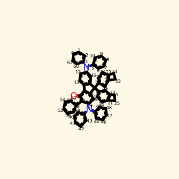 c1ccc(N(c2ccccc2)c2ccc3c(c2)C(c2ccc4c(c2)CC4)(c2ccc4c(c2)CC4)c2cc(N(c4ccccc4)c4ccccc4)c4c(oc5ccccc54)c2-3)cc1